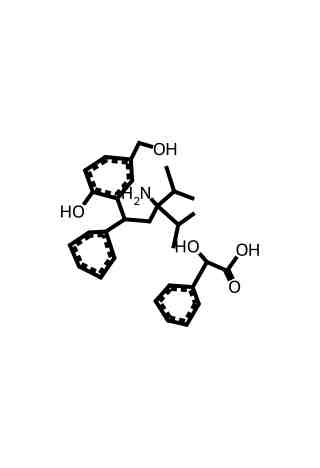 CC(C)C(N)(CC(c1ccccc1)c1cc(CO)ccc1O)C(C)C.O=C(O)C(O)c1ccccc1